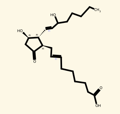 CCCCCC(O)/C=C/[C@H]1[C@H](O)CC(=O)[C@@H]1C/C=C/CCCCCC(=O)O